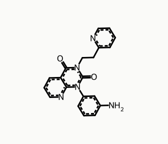 Nc1cccc(-n2c(=O)n(CCc3ccccn3)c(=O)c3cccnc32)c1